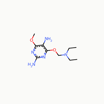 CCN(CC)COc1nc(N)nc(OC)c1N